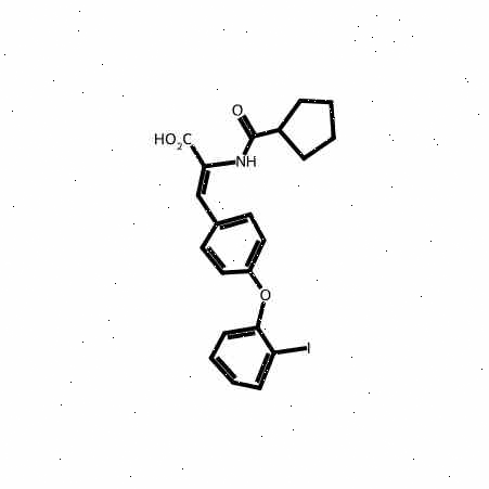 O=C(O)C(=Cc1ccc(Oc2ccccc2I)cc1)NC(=O)C1CCCC1